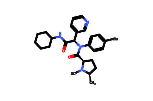 C[C@H]1CC[C@H](C(=O)N(c2ccc(C(C)(C)C)cc2)[C@@H](C(=O)NC2CCCCC2)c2cccnc2)N1C#N